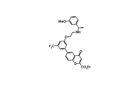 CCOC(=O)c1cc(=O)c2cc(-c3cc(OCCN[C@H](C)c4cccc(OC)c4)cc(C(F)(F)F)c3)ccc2o1